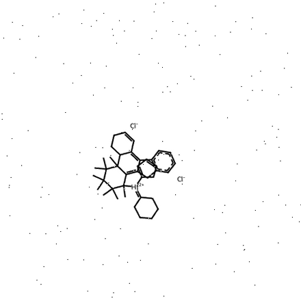 CC12C(=C3Cc4ccccc4C3=C3C=CCCC31)[C](C)([Hf+2]([C]1=CC=CC1)=[C]1CCCCC1)C(C)(C)C(C)(C)C2(C)C.[Cl-].[Cl-]